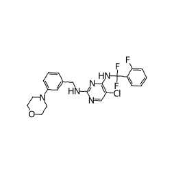 Fc1ccccc1C(F)(F)Nc1nc(NCc2cccc(N3CCOCC3)c2)ncc1Cl